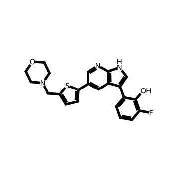 Oc1c(F)cccc1-c1c[nH]c2ncc(-c3ccc(CN4CCOCC4)s3)cc12